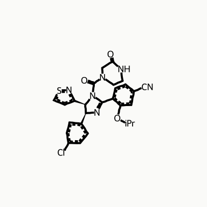 CC(C)Oc1cc(C#N)ccc1C1=N[C@@H](c2ccc(Cl)cc2)[C@@H](c2ccsn2)N1C(=O)N1CCNC(=O)C1